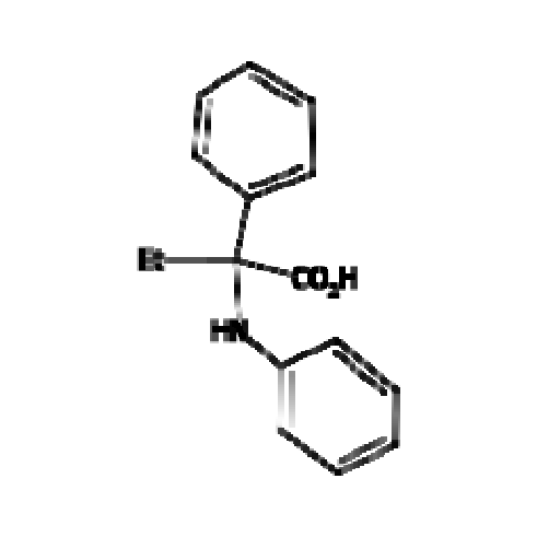 CCC(Nc1ccccc1)(C(=O)O)c1ccccc1